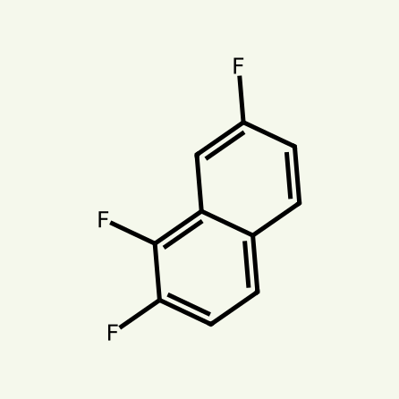 Fc1ccc2ccc(F)c(F)c2c1